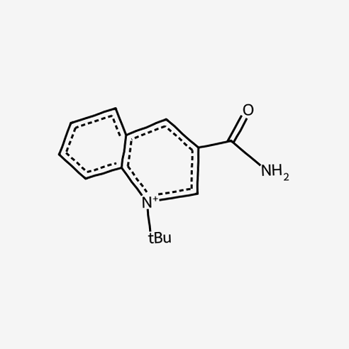 CC(C)(C)[n+]1cc(C(N)=O)cc2ccccc21